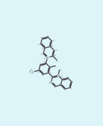 Cc1c(-c2ncc3ccccc3[n+]2C)cc(C(F)(F)F)cc1-[n+]1cc2ccccc2cc1C